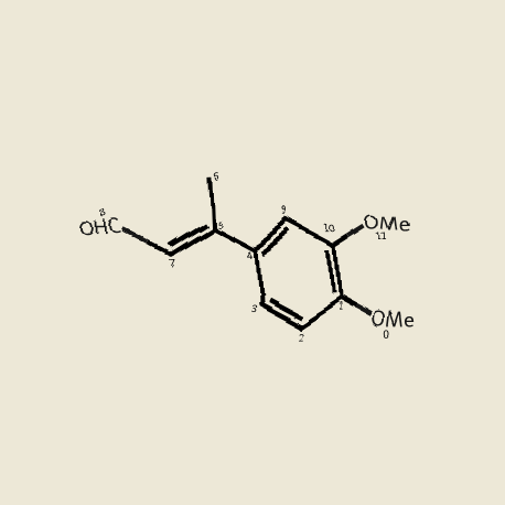 COc1ccc(C(C)=CC=O)cc1OC